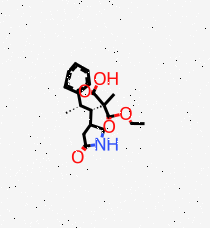 CCOC(=O)C(C)(C(=O)O)[C@H](C1CNC(=O)C1)[C@H](C)c1ccccc1